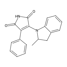 CC1Cc2ccccc2N1C1=C(c2ccccc2)C(=O)NC1=O